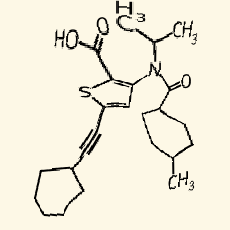 CC1CCC(C(=O)N(c2cc(C#CC3CCCCC3)sc2C(=O)O)C(C)C)CC1